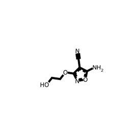 N#Cc1c(OCCO)noc1N